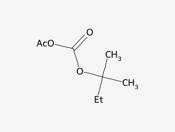 CCC(C)(C)OC(=O)OC(C)=O